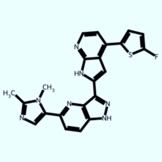 Cc1ncc(-c2ccc3[nH]nc(-c4cc5c(-c6ccc(F)s6)ccnc5[nH]4)c3n2)n1C